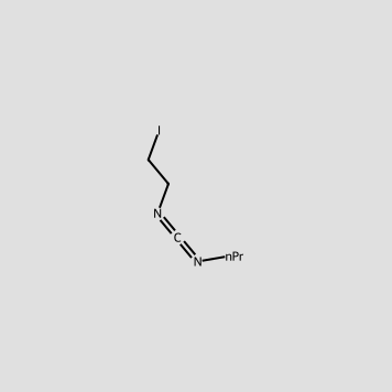 CCCN=C=NCCI